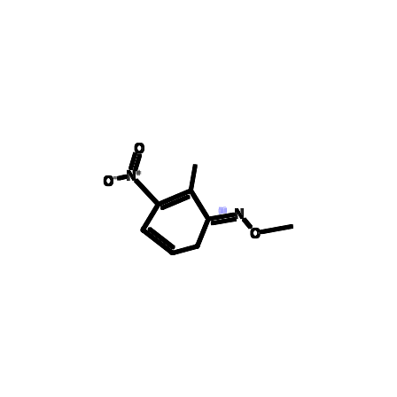 CO/N=C1\CC=CC([N+](=O)[O-])=C1C